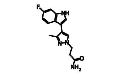 Cc1nn(CCC(N)=O)cc1-c1c[nH]c2cc(F)ccc12